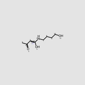 CC(=O)/C=C(\O)NCCCCO